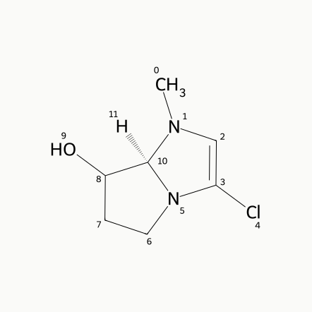 CN1C=C(Cl)N2CCC(O)[C@@H]12